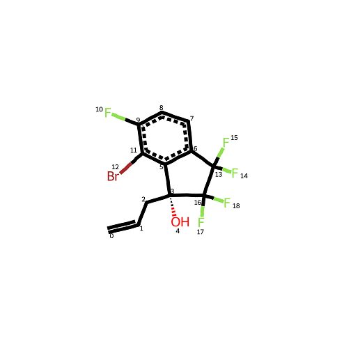 C=CC[C@@]1(O)c2c(ccc(F)c2Br)C(F)(F)C1(F)F